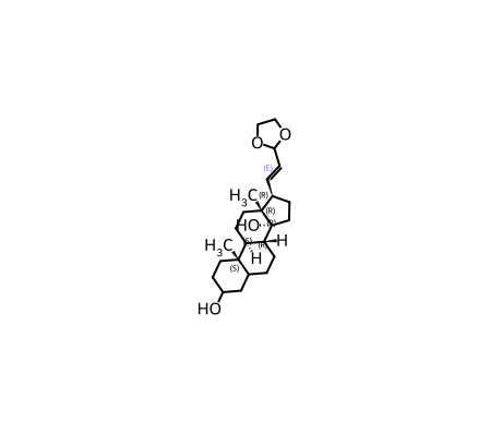 C[C@]12CCC(O)CC1CC[C@@H]1[C@@H]2CC[C@]2(C)[C@@H](/C=C/C3OCCO3)CC[C@@]12O